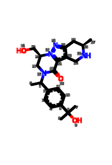 CC(c1ccc(C(C)(C)O)cc1)N1C[C@@H](CO)n2nc3c(c2C1=O)CN[C@H](C)C3